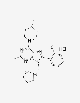 Cc1nc(N2CCN(C)CC2)c2nc(-c3ccccc3Cl)n(C[C@@H]3CCCO3)c2n1.Cl